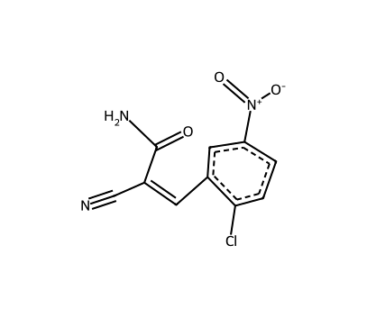 N#CC(=Cc1cc([N+](=O)[O-])ccc1Cl)C(N)=O